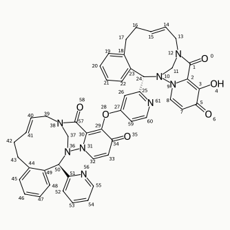 O=C1c2c(O)c(=O)ccn2N2CN1C/C=C/CCc1ccccc1[C@H]2c1cc(Oc2c3n(ccc2=O)N2CN(C/C=C/CCc4ccccc4[C@@H]2c2ccccn2)C3=O)ccn1